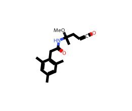 COC(C)(CC=C=O)NC(=O)Cc1c(C)cc(C)cc1C